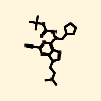 CN(C)CCn1cnc2c(N(CC3CCCC3)NC(=O)OC(C)(C)C)nc(C#N)nc21